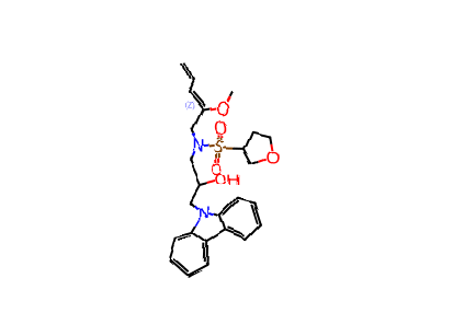 C=C/C=C(/CN(CC(O)Cn1c2ccccc2c2ccccc21)S(=O)(=O)C1CCOC1)OC